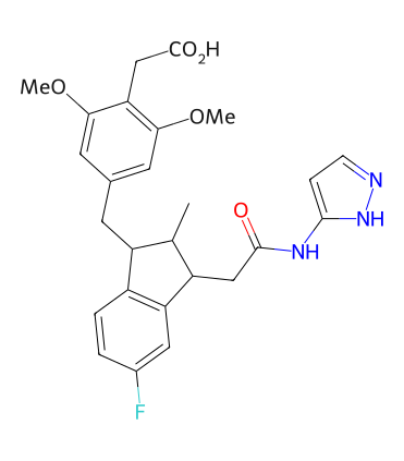 COc1cc(CC2c3ccc(F)cc3C(CC(=O)Nc3ccn[nH]3)C2C)cc(OC)c1CC(=O)O